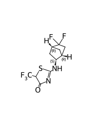 O=C1N=C(N[C@H]2C[C@H]3C[C@@H]2CC3(F)F)SC1C(F)(F)F